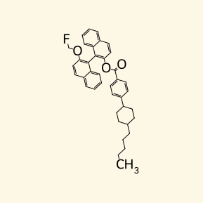 CCCCCC1CCC(c2ccc(C(=O)Oc3ccc4ccccc4c3-c3c(OCF)ccc4ccccc34)cc2)CC1